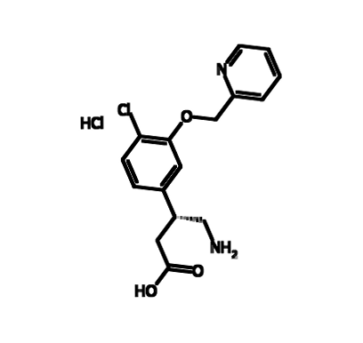 Cl.NC[C@H](CC(=O)O)c1ccc(Cl)c(OCc2ccccn2)c1